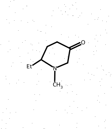 [CH2]CC1CCC(=O)CN1C